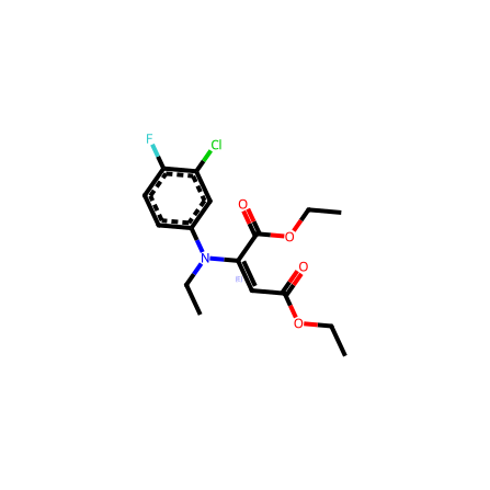 CCOC(=O)/C=C(\C(=O)OCC)N(CC)c1ccc(F)c(Cl)c1